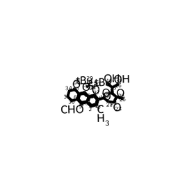 Cc1cc2c(C=O)c3c(c4c2c(c1C1OC2(C(CO)CO)OC1C(=O)C21CO1)O[Si](C(C)(C)C)(C(C)(C)C)O4)C(=O)CCC3